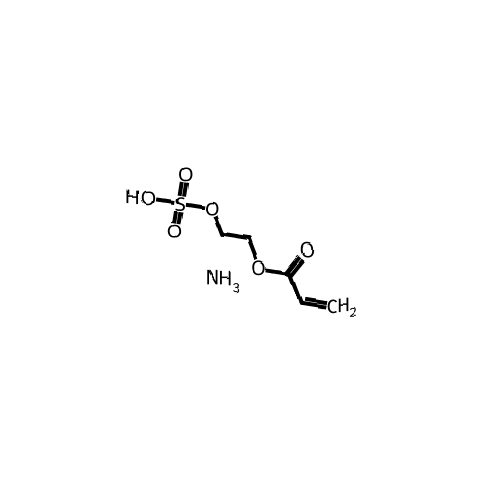 C=CC(=O)OCCOS(=O)(=O)O.N